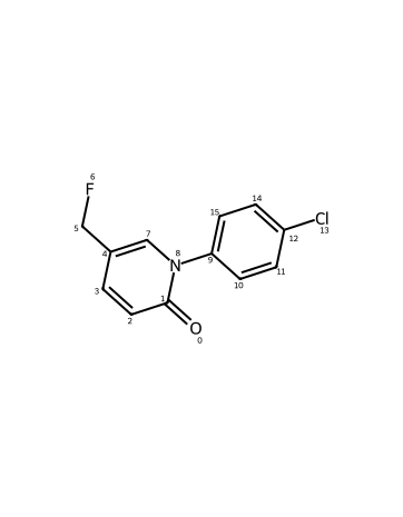 O=c1ccc(CF)cn1-c1ccc(Cl)cc1